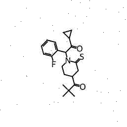 CC(C)(C)C(=O)C1CCN(C(C(=O)C2CC2)c2ccccc2F)C(=S)C1